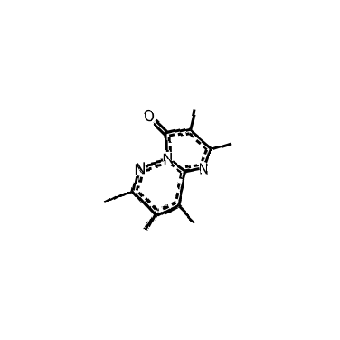 Cc1nn2c(=O)c(C)c(C)nc2c(C)c1C